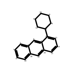 c1ccc2cc3c([C]4CCCCC4)cccc3cc2c1